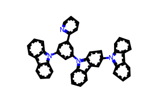 c1ccc(-c2cc(-n3c4ccccc4c4ccccc43)cc(-n3c4ccccc4c4cc(-n5c6ccccc6c6ccccc65)ccc43)c2)nc1